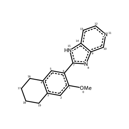 COc1cc2c(cc1-c1nc3cnccc3[nH]1)CCCC2